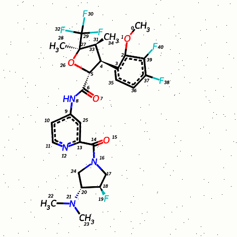 COc1c([C@H]2[C@H](C(=O)Nc3ccnc(C(=O)N4C[C@@H](F)[C@H](N(C)C)C4)c3)O[C@@](C)(C(F)(F)F)[C@H]2C)ccc(F)c1F